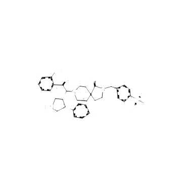 CS(=O)(=O)c1ccc(CN2CCC3(CCN(C(C(=O)c4ccccc4F)[C@@H]4CNC[C@@H]4c4ccccc4)CC3)C2=O)cc1